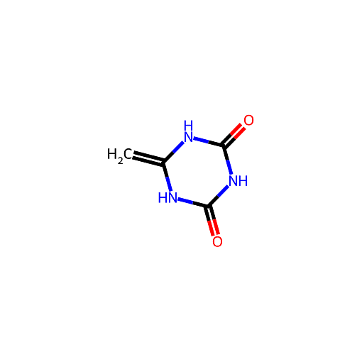 C=C1NC(=O)NC(=O)N1